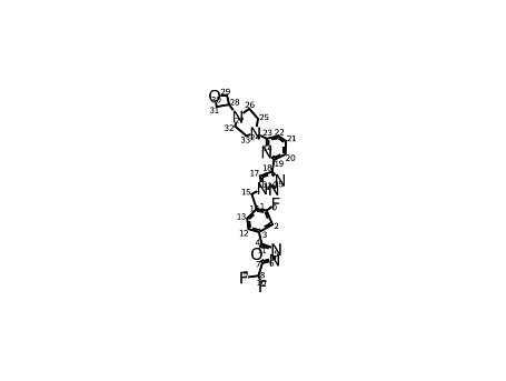 Fc1cc(-c2nnc(C(F)F)o2)ccc1Cn1cc(-c2cccc(N3CCN(C4COC4)CC3)n2)nn1